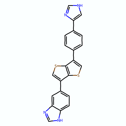 c1nc(-c2ccc(-c3csc4c(-c5ccc6[nH]cnc6c5)csc34)cc2)c[nH]1